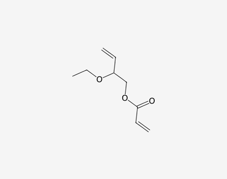 C=CC(=O)OCC(C=C)OCC